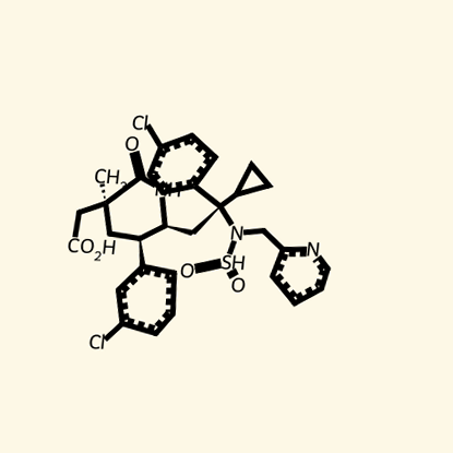 C[C@@]1(CC(=O)O)C[C@H](c2cccc(Cl)c2)[C@H](C[C@@](c2ccc(Cl)cc2)(C2CC2)N(Cc2ccccn2)[SH](=O)=O)NC1=O